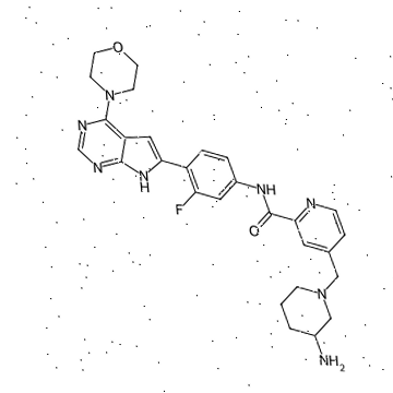 NC1CCCN(Cc2ccnc(C(=O)Nc3ccc(-c4cc5c(N6CCOCC6)ncnc5[nH]4)c(F)c3)c2)C1